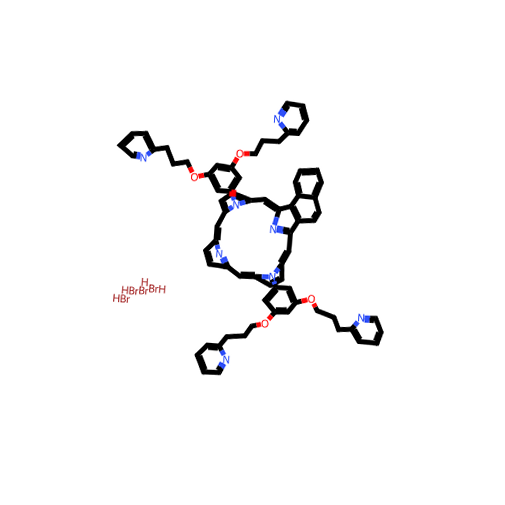 Br.Br.Br.Br.C1=Cc2cc3ccc(cc4nc(cc5ccc(cc1n2)n5-c1cc(OCCCc2ccccn2)cc(OCCCc2ccccn2)c1)-c1ccc2ccccc2c1-4)n3-c1cc(OCCCc2ccccn2)cc(OCCCc2ccccn2)c1